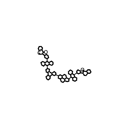 c1ccc2c(c1)ccc1c3cc(-c4c5ccccc5c(-c5ccc6c7ccccc7c7cc(-c8cc9ccc%10ccc(-c%11c%12ccccc%12c(-c%12ccc%13oc%14c%15ccccc%15ccc%14c%13c%12)c%12ccccc%11%12)c%11ccc(c8)c9c%10%11)ccc7c6c5)c5ccccc45)ccc3oc21